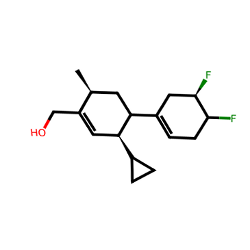 C[C@H]1CC(C2=CCC(F)[C@H](F)C2)[C@@H](C2CC2)C=C1CO